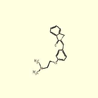 CN(C)CCOc1ccc(C=C2Cc3ccccc3C2=O)cc1